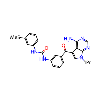 CSc1cccc(NC(=O)Nc2cccc(C(=O)c3cn(C(C)C)c4ncnc(N)c34)c2)c1